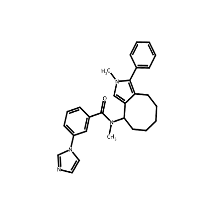 CN(C(=O)c1cccc(-n2ccnc2)c1)C1CCCCCc2c1cn(C)c2-c1ccccc1